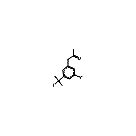 CC(=O)Cc1cc(Cl)cc(C(C)(C)F)c1